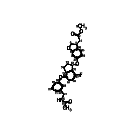 COC(=O)C[C@@H]1COc2cc(O[C@@H]3CCc4c(Oc5cccc(CNC(C)=O)c5)ccc(F)c43)ccc21